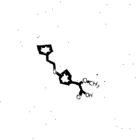 COC(C(=O)O)c1ccc(OCCc2ccccc2)cc1